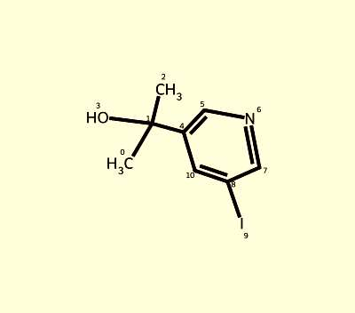 CC(C)(O)c1cncc(I)c1